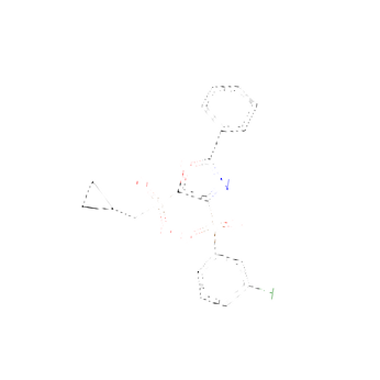 O=S(=O)(CC1CC1)c1oc(-c2ccccc2)nc1S(=O)(=O)c1cccc(F)c1